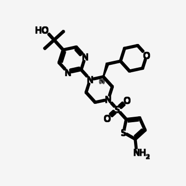 CC(C)(O)c1cnc(N2CCN(S(=O)(=O)c3ccc(N)s3)C[C@@H]2CC2CCOCC2)nc1